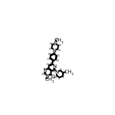 CC1CCCN(c2nc(-c3ccc(N4CCN(C)CC4)cc3)cc3ncn(C)c(=O)c23)C1